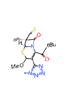 CCC[C@]1(C=S)C(=O)N2C(C(=O)C(C)(C)C)=C(c3nnnn3C)C(OC)S[C@H]21